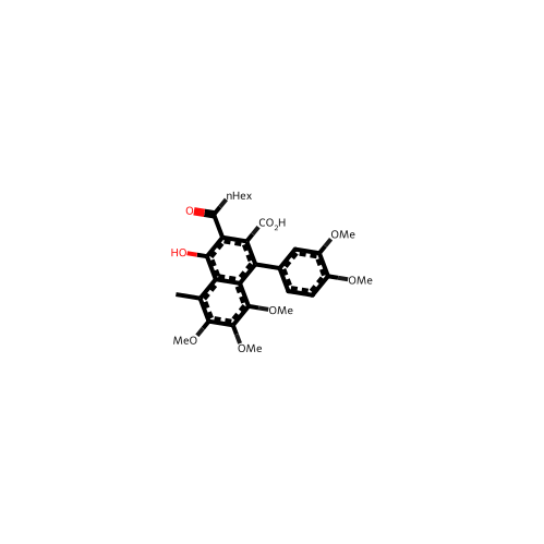 CCCCCCC(=O)c1c(C(=O)O)c(-c2ccc(OC)c(OC)c2)c2c(OC)c(OC)c(OC)c(C)c2c1O